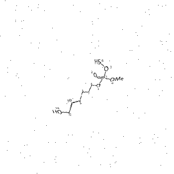 COP(=O)(OS)OCCCCCCO